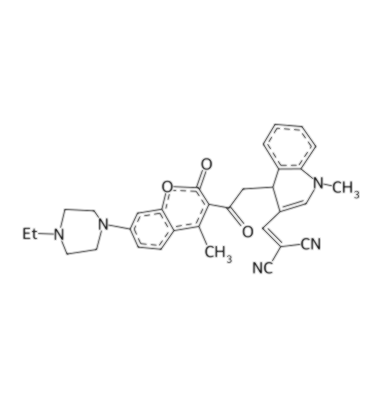 CCN1CCN(c2ccc3c(C)c(C(=O)CC4C(C=C(C#N)C#N)=CN(C)c5ccccc54)c(=O)oc3c2)CC1